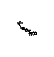 CCCC/C=C/CCSc1ccc(-c2ccc(C(=O)OC(CCC)CCCc3ccccc3)cc2)cc1